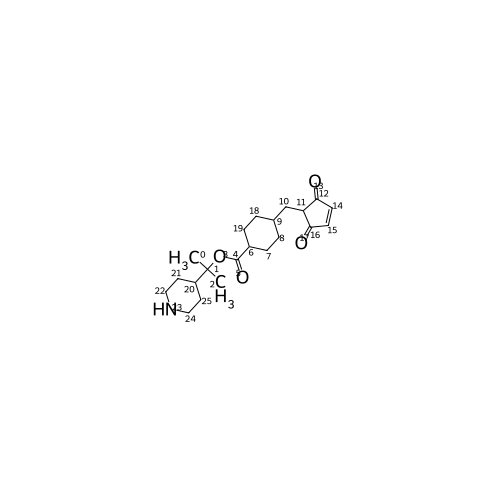 CC(C)(OC(=O)C1CCC(CC2C(=O)C=CC2=O)CC1)C1CCNCC1